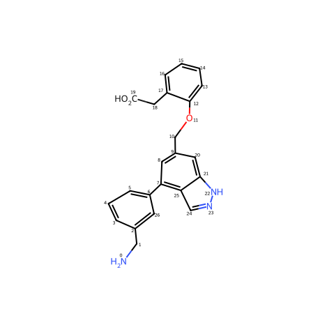 NCc1cccc(-c2cc(COc3ccccc3CC(=O)O)cc3[nH]ncc23)c1